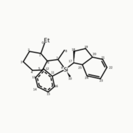 CCC1CCCCC1C(C)[Si@@](C)(c1ccccc1)[C@H]1CCC2C=CC=CC21